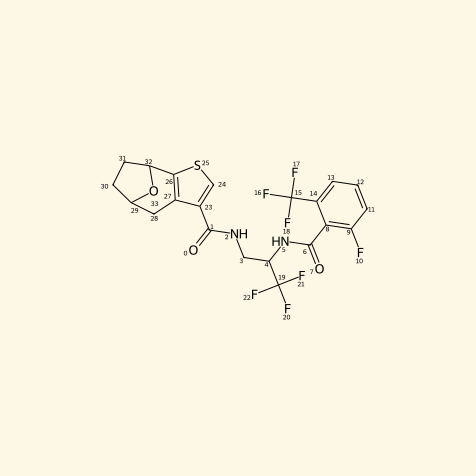 O=C(NCC(NC(=O)c1c(F)cccc1C(F)(F)F)C(F)(F)F)c1csc2c1CC1CCC2O1